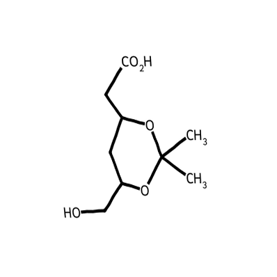 CC1(C)OC(CO)CC(CC(=O)O)O1